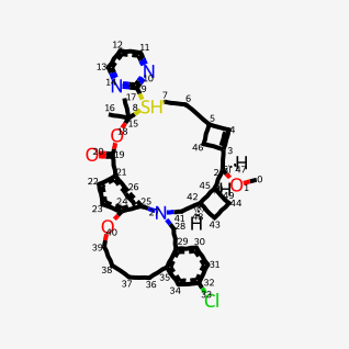 CO[C@@H]1C2=CC(CC[SH](c3ncccn3)C(C)(C)OC(=O)c3ccc4c(c3)N(Cc3ccc(Cl)cc3CCCCO4)C[C@@H]3CC[C@H]31)C2